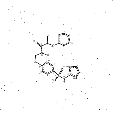 CC(Oc1ccccc1)C(=O)N1CCc2ccc(S(=O)(=O)Nc3nccs3)cc2C1